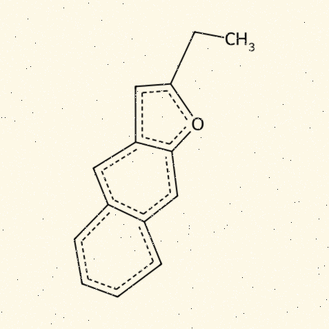 CCc1cc2cc3ccccc3cc2o1